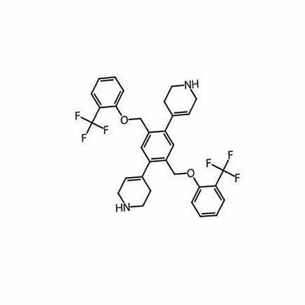 FC(F)(F)c1ccccc1OCc1cc(C2=CCNCC2)c(COc2ccccc2C(F)(F)F)cc1C1=CCNCC1